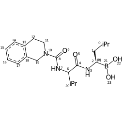 CC(C)C[C@H](NC(=O)C(NC(=O)N1CCc2ccccc2C1)C(C)C)B(O)O